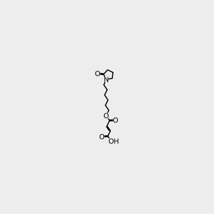 O=C(O)C=CC(=O)OCCCCCCN1CCCC1=O